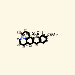 COc1ccc2c(c1)[Si](C)(C)c1c(cc3c4c1CCC(=O)N4CCC3)C2